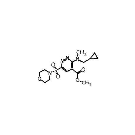 COC(=O)c1cc(S(=O)(=O)N2CCOCC2)nnc1N(C)CC1CC1